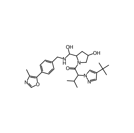 Cc1ncoc1-c1ccc(CNC(O)C2CC(O)CN2C(=O)C(C(C)C)n2cc(C(C)(C)C)cn2)cc1